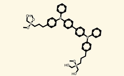 CO[Si](CO)(CO)CCCc1ccc(N(c2ccccc2)c2ccc(-c3ccc(N(c4ccccc4)c4ccc(CCC[Si](CO)(OC)OC)cc4)cc3)cc2)cc1